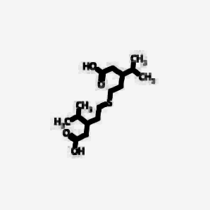 CC(C)C(CCSCCC(CC(=O)O)C(C)C)CC(=O)O